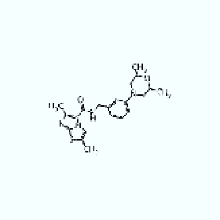 Cc1cn2c(C(=O)NCc3cccc(N4CC(C)OC(C)C4)c3)c(C)nc2s1